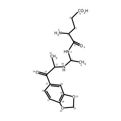 CC(NC(=O)C(N)CCC(=O)O)NC(C)C(=O)c1ccc2c(c1)OCO2